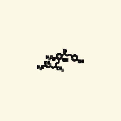 COc1ccc(C(=O)CCc2ccc(O)cc2)c(O)c1C/C=C(\C)CCC=C(C)C